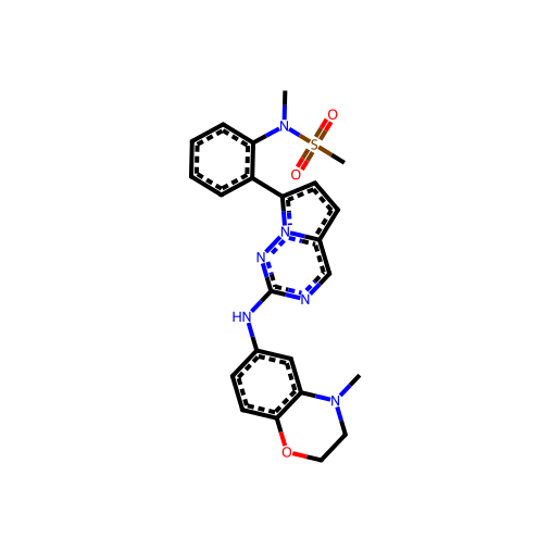 CN1CCOc2ccc(Nc3ncc4ccc(-c5ccccc5N(C)S(C)(=O)=O)n4n3)cc21